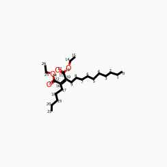 CCCCCCCCCC/C(C(=O)OCC)=C(\CCCCC)C(=O)OCC